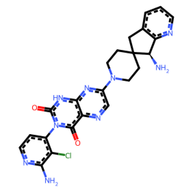 Nc1nccc(-n2c(=O)[nH]c3nc(N4CCC5(CC4)Cc4cccnc4[C@H]5N)cnc3c2=O)c1Cl